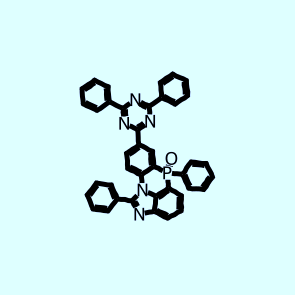 O=P1(c2ccccc2)c2cc(-c3nc(-c4ccccc4)nc(-c4ccccc4)n3)ccc2-n2c(-c3ccccc3)nc3cccc1c32